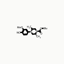 COc1cc(N2C[C@H](C)N(C(=O)OC(C)(C)C)CC2C)ccc1C#N